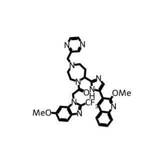 COc1ccc2nc(C(F)(F)F)n(CC(=O)N3CCN(Cc4cnccn4)CCC3c3ncc(-c4cc5ccccc5nc4OC)[nH]3)c2c1